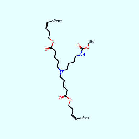 CCCCC/C=C\CCOC(=O)CCCCN(CCCCNC(=O)OC(C)(C)C)CCCCC(=O)OCC/C=C\CCCCC